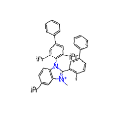 Cc1ccc(-c2ccccc2)cc1-c1n(-c2c(C(C)C)cc(-c3ccccc3)cc2C(C)C)c2ccc(C(C)C)cc2[n+]1C